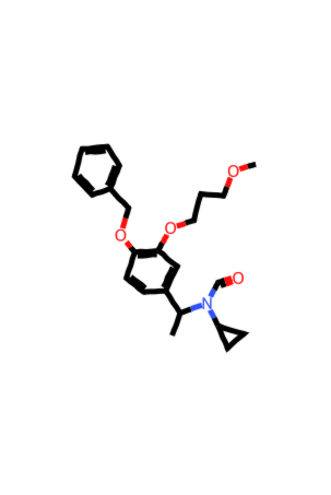 COCCCOc1cc(C(C)N(C=O)C2CC2)ccc1OCc1ccccc1